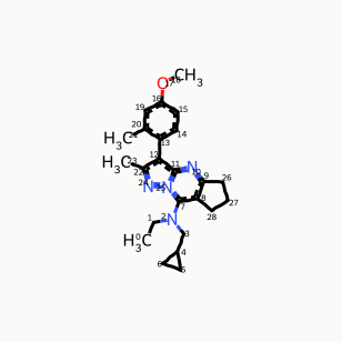 CCN(CC1CC1)c1c2c(nc3c(-c4ccc(OC)cc4C)c(C)nn13)CCC2